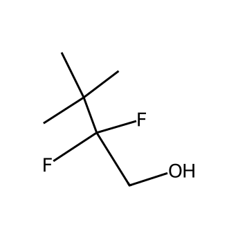 CC(C)(C)C(F)(F)CO